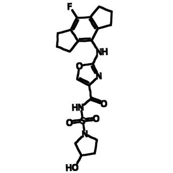 O=C(NS(=O)(=O)N1CCC(O)C1)c1coc(Nc2c3c(c(F)c4c2CCC4)CCC3)n1